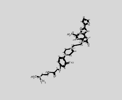 CN(C)CCNC(=O)COc1ccc(N2CCN(CCn3c(=O)sc4c3nc(N)n3nc(-c5ccco5)nc43)CC2)c(F)c1